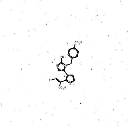 CCC=C(C(=O)O)c1sccc1-c1cnc(CCCC)n1Cc1ccc(C(=O)O)cc1